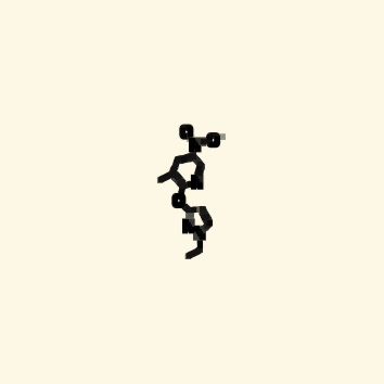 CCn1ccc(Oc2ncc([N+](=O)[O-])cc2C)n1